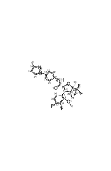 COc1c([C@H]2[C@H](C(=O)Nc3ccc(-n4ccc(C)n4)nc3)O[C@@](C)(C(F)(F)F)[C@H]2C)ccc(F)c1F